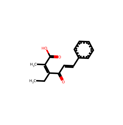 CCC(C(=O)/C=C/c1ccccc1)=C(C)C(=O)O